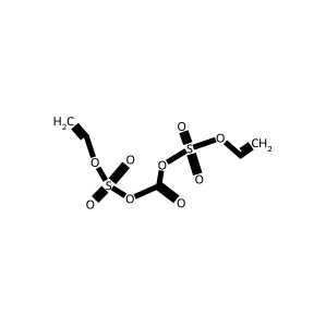 C=COS(=O)(=O)OC(=O)OS(=O)(=O)OC=C